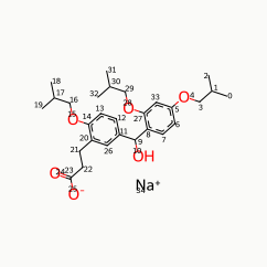 CC(C)COc1ccc(C(O)c2ccc(OCC(C)C)c(CCC(=O)[O-])c2)c(OCC(C)C)c1.[Na+]